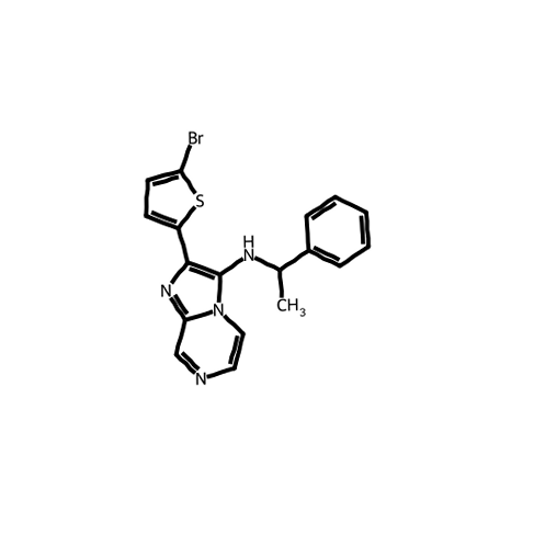 CC(Nc1c(-c2ccc(Br)s2)nc2cnccn12)c1ccccc1